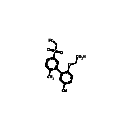 Cc1ccc(S(=O)(=O)CC(C)C)cc1-c1cc(C#N)ccc1OCC(=O)O